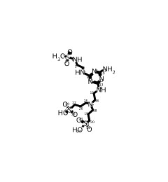 CS(=O)(=O)NCCNc1nc(N)nc(NCCN(CCCS(=O)(=O)O)CCCS(=O)(=O)O)n1